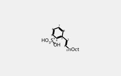 CCCCCCCCC=Cc1ccccc1.O=S(=O)(O)O